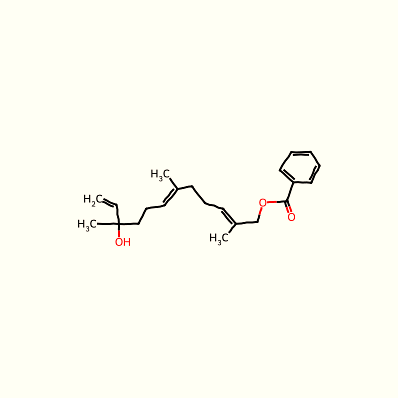 C=CC(C)(O)CCC=C(C)CCC=C(C)COC(=O)c1ccccc1